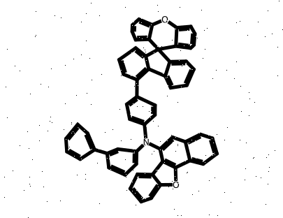 c1ccc(-c2cccc(N(c3ccc(-c4cccc5c4-c4ccccc4C54c5ccccc5Oc5ccccc54)cc3)c3cc4ccccc4c4oc5ccccc5c34)c2)cc1